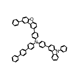 c1ccc(-c2ccc(-c3ccc(N(c4ccc(-c5ccc6oc7ccc(-c8ccccc8)cc7c6c5)cc4)c4ccc(-c5ccc6c(c5)c5ccccc5n6-c5ccccc5)cc4)cc3)cc2)cc1